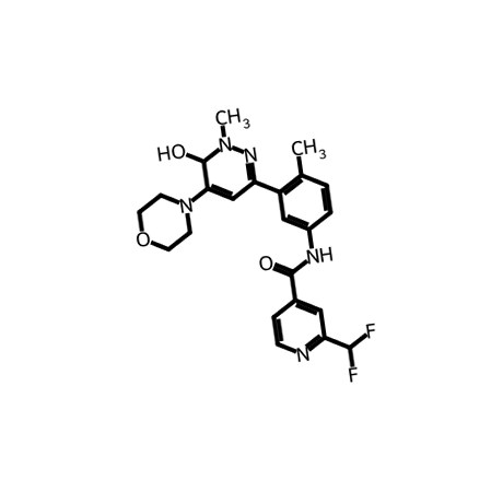 Cc1ccc(NC(=O)c2ccnc(C(F)F)c2)cc1C1=NN(C)C(O)C(N2CCOCC2)=C1